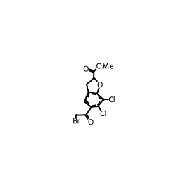 COC(=O)C1Cc2cc(C(=O)CBr)c(Cl)c(Cl)c2O1